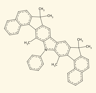 Cc1c2c(cc3c4cc5c(c(C)c4n(-c4ccccc4)c13)-c1c(ccc3ccccc13)C5(C)C)C(C)(C)c1ccc3ccccc3c1-2